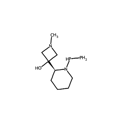 CN1CC(O)([C@@H]2CCCCN2PP)C1